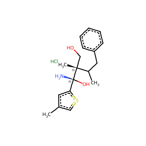 Cc1csc([C@@](N)(O)[C@](C)(CO)C(C)Cc2ccccc2)c1.Cl